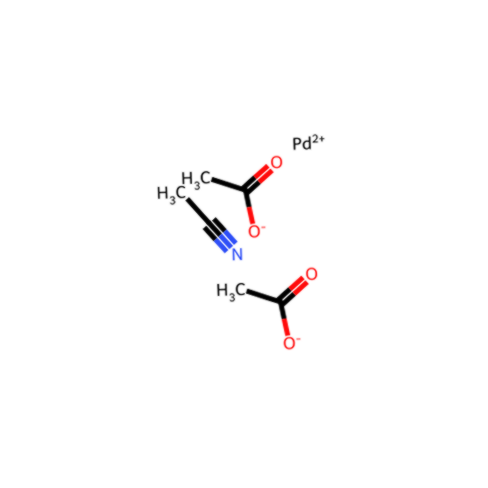 CC#N.CC(=O)[O-].CC(=O)[O-].[Pd+2]